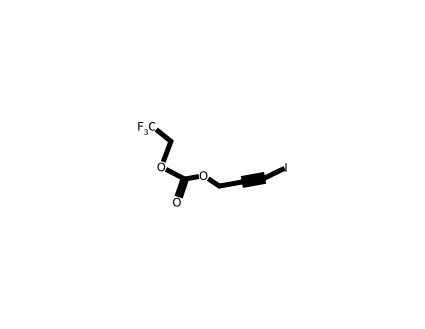 O=C(OCC#CI)OCC(F)(F)F